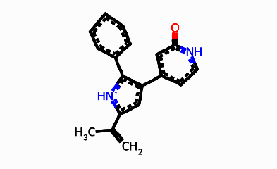 C=C(C)c1cc(-c2cc[nH]c(=O)c2)c(-c2ccccc2)[nH]1